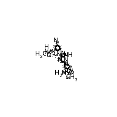 CNC(=O)CN1CCN(c2n[nH]c3nc(N4CCC5(CC4)CO[C@@H](C)[C@H]5N)cnc23)c2ccc(C#N)cc21